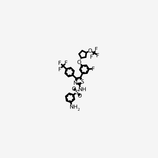 Nc1cccc(S(=O)(=O)Nc2nc(-c3ccc(C(F)(F)F)cc3)c(-c3cc(F)cc(O[C@@H]4CCC(OC(F)(F)F)C4)c3)s2)c1